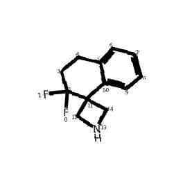 FC1(F)CCc2ccccc2C12CNC2